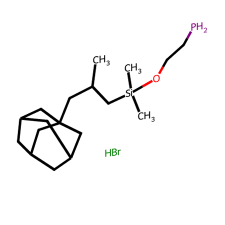 Br.CC(CC12CC3CC(CC(C3)C1)C2)C[Si](C)(C)OCCP